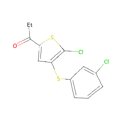 CCC(=O)c1cc(Sc2cccc(Cl)c2)c(Cl)s1